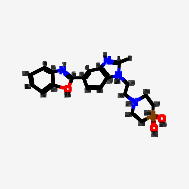 Cc1nc2cc(-c3nc4ccccc4o3)ccc2n1CCN1CCS(=O)(=O)CC1